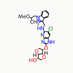 COC(C)Cn1nc(CNc2nc3nc(O[C@@H]4CO[C@H]5[C@@H]4OC[C@H]5O)[nH]c3cc2Cl)c2ccccc21